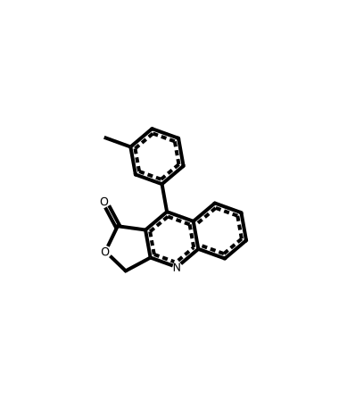 Cc1cccc(-c2c3c(nc4ccccc24)COC3=O)c1